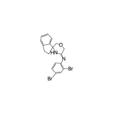 Brc1ccc(N=C2COCC3(CCc4ccccc43)N2)c(Br)c1